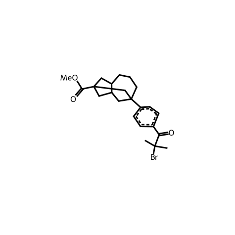 COC(=O)C12CC3CCCC(c4ccc(C(=O)C(C)(C)Br)cc4)(CC3C1)C2